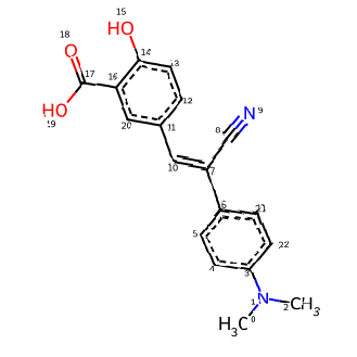 CN(C)c1ccc(/C(C#N)=C/c2ccc(O)c(C(=O)O)c2)cc1